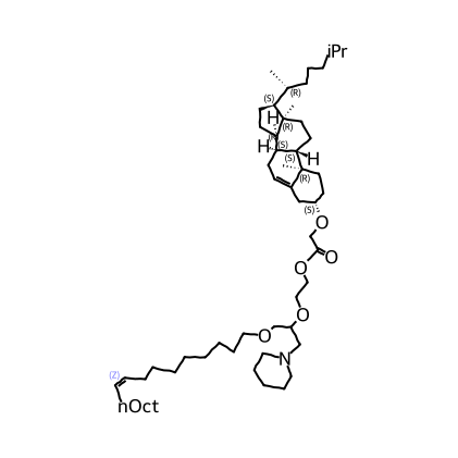 CCCCCCCC/C=C\CCCCCCCCOCC(CN1CCCCC1)OCCOC(=O)CO[C@H]1CC[C@@]2(C)C(=CC[C@H]3[C@H]4CC[C@@H]([C@H](C)CCCC(C)C)[C@@]4(C)CC[C@@H]32)C1